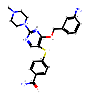 CN1CCN(c2ncc(Sc3ccc(C(N)=O)cc3)c(OCc3cccc(N)c3)n2)CC1